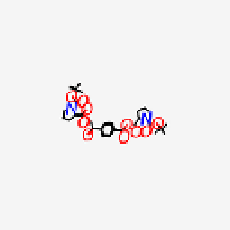 CC(C)(C)OC(=O)N1CCCC1C(=O)OCC(=O)c1ccc(C(=O)OC(=O)C2CCCN2C(=O)OC(C)(C)C)cc1